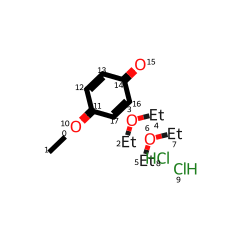 CC.CCOCC.CCOCC.Cl.Cl.O=C1C=CC(=O)C=C1